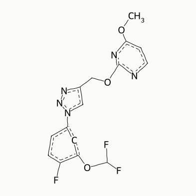 COc1ccnc(OCc2cn(-c3ccc(F)c(OC(F)F)c3)nn2)n1